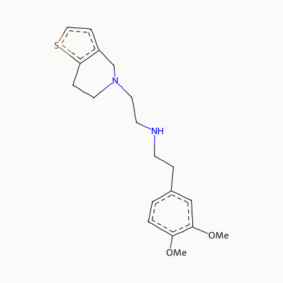 COc1ccc(CCNCCN2CCc3sccc3C2)cc1OC